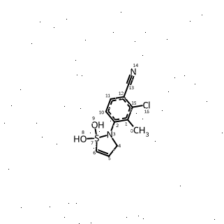 Cc1c(N2CC=CS2(O)O)ccc(C#N)c1Cl